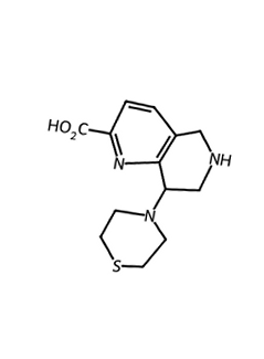 O=C(O)c1ccc2c(n1)C(N1CCSCC1)CNC2